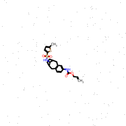 C=CCOC(=O)Nc1ccc2c(c1)CC1CCC(C2)C1NS(=O)(=O)c1ccc(C)s1